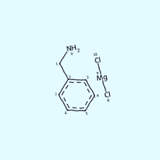 NCc1c[c]ccc1.[Cl][Mg][Cl]